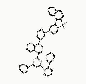 CC1(C)c2ccc(-c3cccc(-c4ccc(-c5nc(-c6ccccc6)cc(-c6ccccc6-c6ccccc6)n5)c5ccccc45)c3)cc2-c2c1ccc1ccccc21